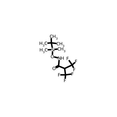 CC(C)(C)[Si](C)(C)ONC(=O)C(C(F)(F)F)C(F)(F)F